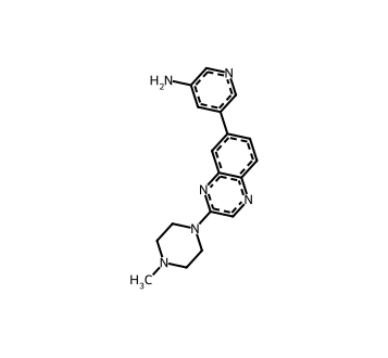 CN1CCN(c2cnc3ccc(-c4cncc(N)c4)cc3n2)CC1